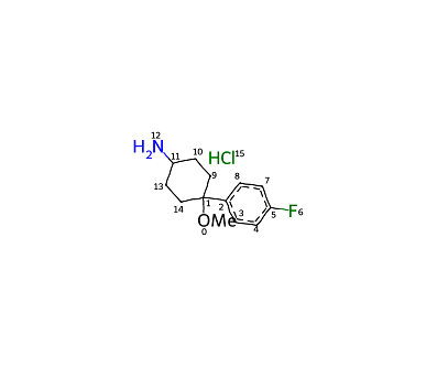 COC1(c2ccc(F)cc2)CCC(N)CC1.Cl